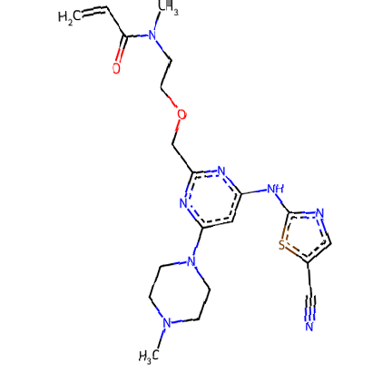 C=CC(=O)N(C)CCOCc1nc(Nc2ncc(C#N)s2)cc(N2CCN(C)CC2)n1